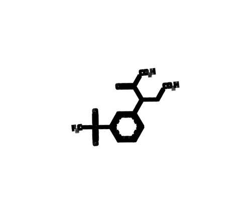 O=C(O)CC(C(=O)C(=O)O)c1cccc(S(=O)(=O)C(F)(F)F)c1